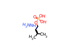 CC(C)=CCOP(=O)(O)O.N.N